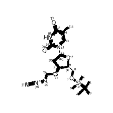 CC(C)(C)[Si](C)(C)OC[C@H]1O[C@@H](n2cc(I)c(=O)[nH]c2=O)CC1OCN=[N+]=[N-]